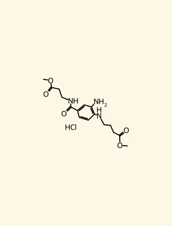 COC(=O)CCCNc1ccc(C(=O)NCCC(=O)OC)cc1N.Cl